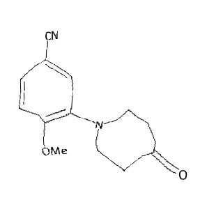 COc1ccc(C#N)cc1N1CCC(=O)CC1